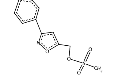 CS(=O)(=O)OCc1cc(-c2ccccc2)no1